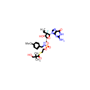 C=C[C@@]1(F)[C@H](O)[C@@H](COP(=O)(NCc2ccc(OC)cc2)OCCSC(=O)C(C)(C)CO)O[C@H]1n1cnc2c(=O)[nH]c(N)nc21